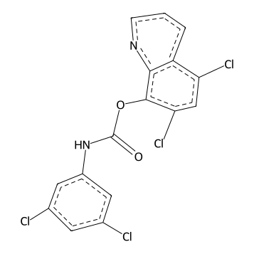 O=C(Nc1cc(Cl)cc(Cl)c1)Oc1c(Cl)cc(Cl)c2cccnc12